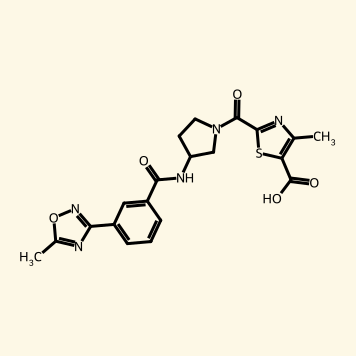 Cc1nc(-c2cccc(C(=O)NC3CCN(C(=O)c4nc(C)c(C(=O)O)s4)C3)c2)no1